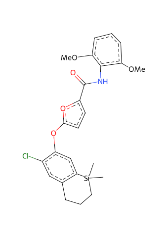 COc1cccc(OC)c1NC(=O)c1ccc(Oc2cc3c(cc2Cl)CCC[Si]3(C)C)o1